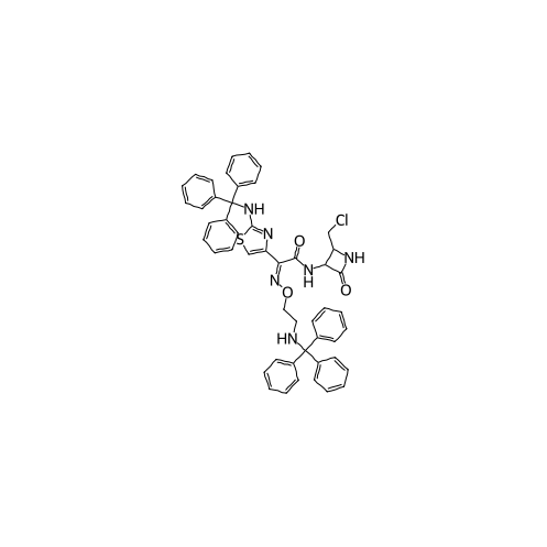 O=C(NC1C(=O)NC1CCl)C(=NOCCNC(c1ccccc1)(c1ccccc1)c1ccccc1)c1csc(NC(c2ccccc2)(c2ccccc2)c2ccccc2)n1